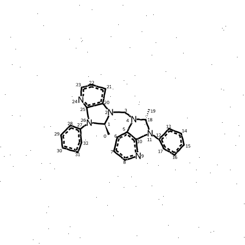 C[C@@H]1N(CN2c3cccnc3N(c3ccccc3)[C@H]2C)c2cccnc2N1c1ccccc1